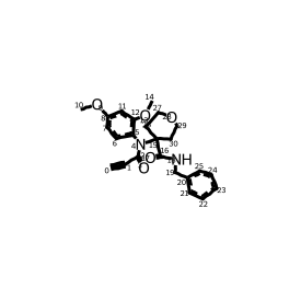 C#CC(=O)N(c1ccc(OC)cc1OC)C1(C(=O)NCc2ccccc2)CCOCC1